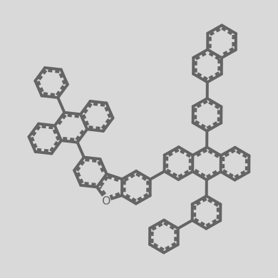 c1ccc(-c2cccc(-c3c4ccccc4c(-c4ccc(-c5ccc6ccccc6c5)cc4)c4ccc(-c5ccc6oc7ccc(-c8c9ccccc9c(-c9ccccc9)c9ccccc89)cc7c6c5)cc34)c2)cc1